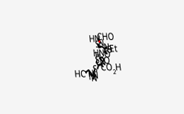 C#CCn1nnnc1SCC1=C(C(=O)O)N2C(=O)C(NC(=O)/C(=N\OCC)c3csc(NC=O)n3)[C@H]2SC1